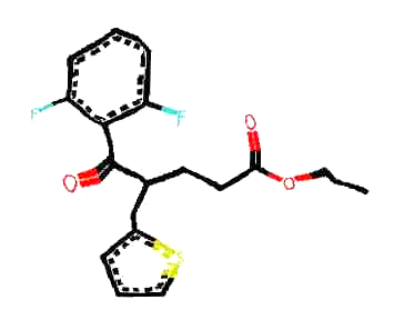 CCOC(=O)CCC(C(=O)c1c(F)cccc1F)c1cccs1